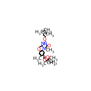 Cc1cc2c(cc1B1OC(C)(C)C(C)(C)O1)N1C(=NN(COCC[Si](C)(C)C)C(=O)C1C)CO2